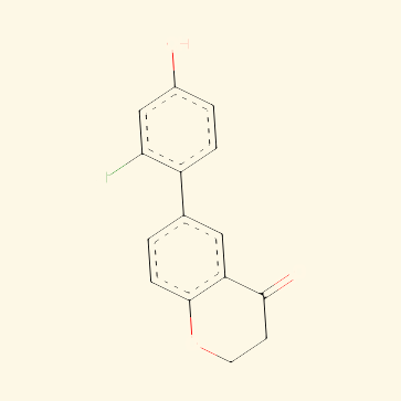 O=C1CCOc2ccc(-c3ccc(O)cc3Cl)cc21